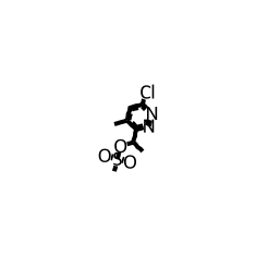 Cc1cc(Cl)nnc1C(C)OS(C)(=O)=O